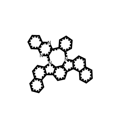 c1ccc2c(c1)ccc1c2c2ccc3c4c5ccccc5ccc4n4c5nc6ccccc6nc5c5ccccc5n1c2c34